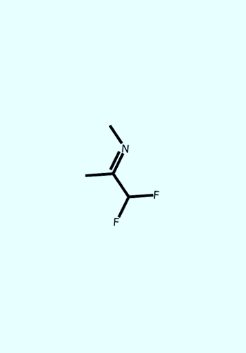 C/N=C(\C)C(F)F